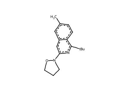 Cc1ccc2c(C(C)(C)C)nc(N3CCCO3)cc2c1